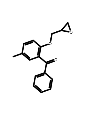 Cc1ccc(OCC2CO2)c(C(=O)c2ccccc2)c1